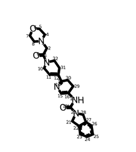 O=C(CN1CCOCC1)N1CC=C(C2=NC=C(NC(=O)N3Cc4ccccc4C3)CC2)CC1